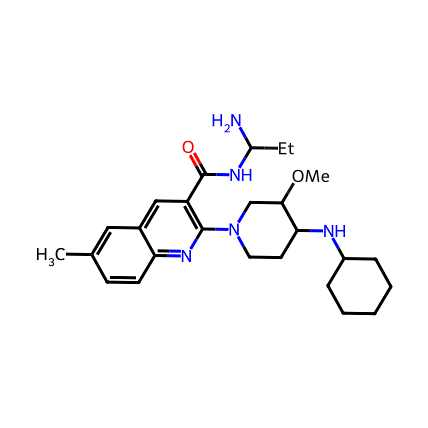 CCC(N)NC(=O)c1cc2cc(C)ccc2nc1N1CCC(NC2CCCCC2)C(OC)C1